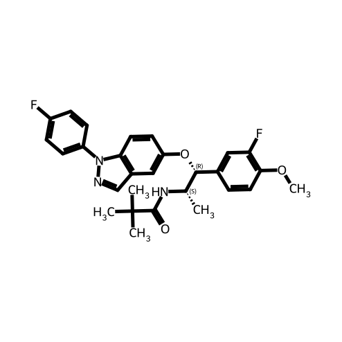 COc1ccc([C@@H](Oc2ccc3c(cnn3-c3ccc(F)cc3)c2)[C@H](C)NC(=O)C(C)(C)C)cc1F